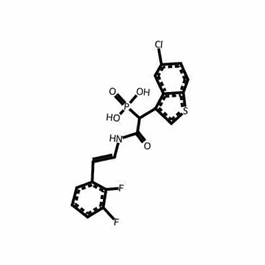 O=C(NC=Cc1cccc(F)c1F)C(c1csc2ccc(Cl)cc12)P(=O)(O)O